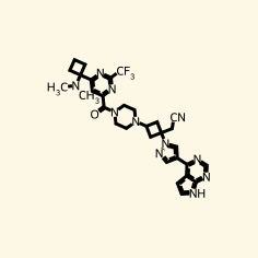 CN(C)C1(c2cc(C(=O)N3CCN(C4CC(CC#N)(n5cc(-c6ncnc7[nH]ccc67)cn5)C4)CC3)nc(C(F)(F)F)n2)CCC1